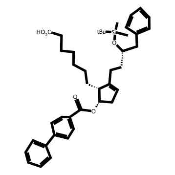 CC(C)(C)[Si](C)(C)O[C@@H](CCC1=CC[C@H](OC(=O)c2ccc(-c3ccccc3)cc2)[C@@H]1CCCCCCC(=O)O)Cc1ccccc1